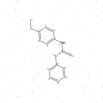 CCc1ccc(NC(=O)Sc2ccccc2)cc1